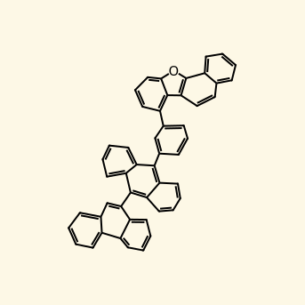 c1cc(-c2c3ccccc3c(-c3cc4ccccc4c4ccccc34)c3ccccc23)cc(-c2cccc3oc4c5ccccc5ccc4c23)c1